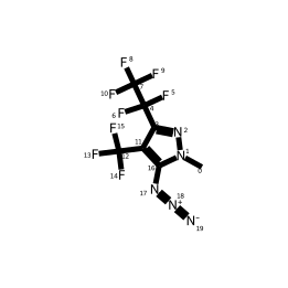 Cn1nc(C(F)(F)C(F)(F)F)c(C(F)(F)F)c1N=[N+]=[N-]